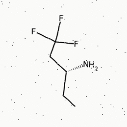 CC[C@@H](N)CC(F)(F)F